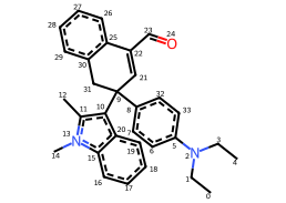 CCN(CC)c1ccc(C2(c3c(C)n(C)c4ccccc34)C=C(C=O)c3ccccc3C2)cc1